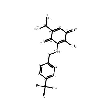 CC1=C(NCc2ccc(C(F)(F)F)cc2)C(=O)C(C(C)C)=CC1=O